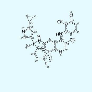 [2H]C(Nc1cc(Cl)c2ncc(C#N)c(Nc3cccc(Cl)c3Cl)c2c1)(c1ccc(F)cc1)c1cn(C2CC2)nn1